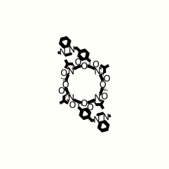 CC(C)C[C@H]1C(=O)O[C@H](Cc2ccc(CN3CCN(C)c4ccccc43)cc2)C(=O)N(C)[C@@H](CC(C)C)C(=O)O[C@H](C)C(=O)N(C)[C@@H](CC(C)C)C(=O)O[C@H](Cc2ccc(CN3CCN(C)c4ccccc43)cc2)C(=O)N(C)[C@@H](CC(C)C)C(=O)O[C@H](C)C(=O)N1C